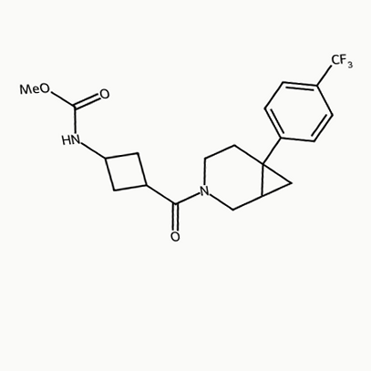 COC(=O)NC1CC(C(=O)N2CCC3(c4ccc(C(F)(F)F)cc4)CC3C2)C1